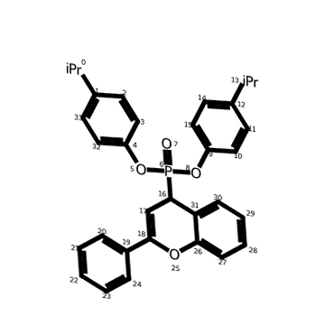 CC(C)c1ccc(OP(=O)(Oc2ccc(C(C)C)cc2)C2C=C(c3ccccc3)Oc3ccccc32)cc1